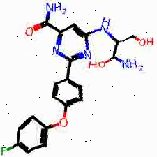 NC(=O)c1cc(N[C@@H](CO)C(N)O)nc(-c2ccc(Oc3ccc(F)cc3)cc2)n1